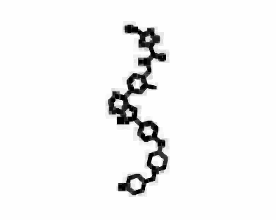 Cc1cc(-c2ncnc3[nH]c(-c4ccc(OC5CCN(CC6CCNCC6)CC5)cc4)cc23)ccc1CNC(=O)c1nc(C(C)(C)C)no1